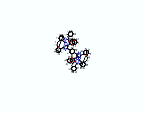 c1ccc(C2=NC3(N=C2c2ccccc2)c2cc4ccc2CCc2ccc(cc2-c2nc(-c5ccc(-c6nc7n(c6-c6ccccc6)C6(N=C(c8ccccc8)C(c8ccccc8)=N6)c6cc8ccc6CCc6ccc(cc6-7)CC8)cc5)c(-c5ccccc5)n23)CC4)cc1